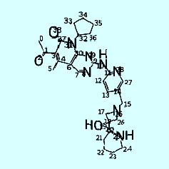 CC(=O)c1c(C)c2cnc(Nc3ccc(CN4CC(O)([C@@H]5CCCCN5)C4)cn3)nc2n(C2CCCC2)c1=O